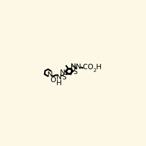 Cc1c2nc(NCC(=O)O)sc2cc2sc(NCC(=O)N3CCCCC3)nc12